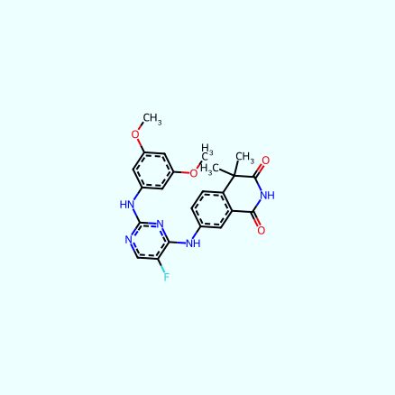 COc1cc(Nc2ncc(F)c(Nc3ccc4c(c3)C(=O)NC(=O)C4(C)C)n2)cc(OC)c1